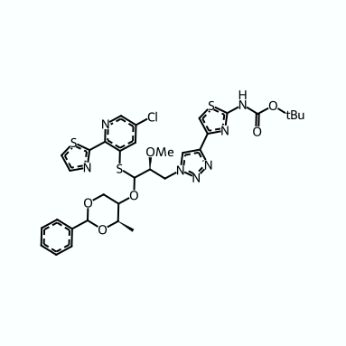 CO[C@@H](Cn1cc(-c2csc(NC(=O)OC(C)(C)C)n2)nn1)C(OC1COC(c2ccccc2)O[C@@H]1C)Sc1cc(Cl)cnc1-c1nccs1